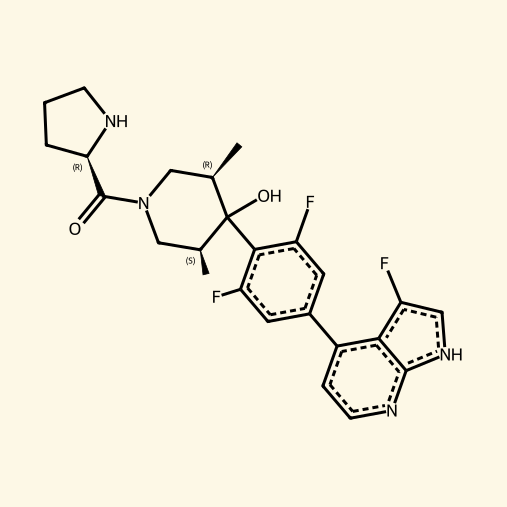 C[C@@H]1CN(C(=O)[C@H]2CCCN2)C[C@H](C)C1(O)c1c(F)cc(-c2ccnc3[nH]cc(F)c23)cc1F